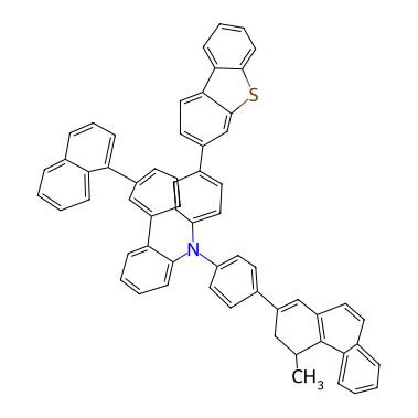 CC1CC(c2ccc(N(c3ccc(-c4ccc5c(c4)sc4ccccc45)cc3)c3ccccc3-c3cccc(-c4cccc5ccccc45)c3)cc2)=Cc2ccc3ccccc3c21